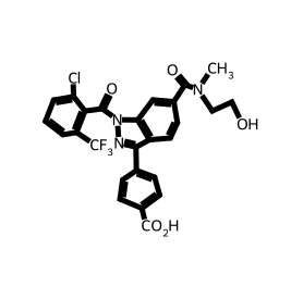 CN(CCO)C(=O)c1ccc2c(-c3ccc(C(=O)O)cc3)nn(C(=O)c3c(Cl)cccc3C(F)(F)F)c2c1